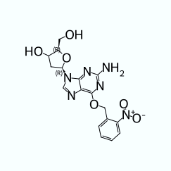 Nc1nc(OCc2ccccc2[N+](=O)[O-])c2ncn([C@H]3CC(O)[C@@H](CO)O3)c2n1